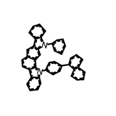 c1ccc(-n2c3ccccc3c3cc4ccc5c6ccccc6n(-c6ccc(-c7cccc8ccccc78)cc6)c5c4cc32)cc1